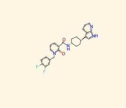 O=C(N[C@H]1CC[C@H](c2c[nH]c3ncccc32)CC1)c1cccn(Cc2ccc(F)c(F)c2)c1=O